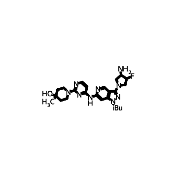 CCC(C)n1nc(N2CC(N)C(F)C2)c2cnc(Nc3ccnc(N4CCC(C)(O)CC4)n3)cc21